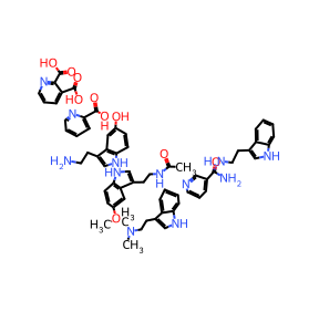 CN(C)CCc1c[nH]c2ccccc12.COc1ccc2[nH]cc(CCNC(C)=O)c2c1.NC(=O)c1cccnc1.NCCc1c[nH]c2ccc(O)cc12.NCCc1c[nH]c2ccccc12.O=C(O)c1ccccn1.O=C(O)c1cccnc1C(=O)O